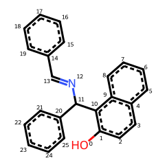 Oc1ccc2ccccc2c1C(N=Cc1ccccc1)c1ccccc1